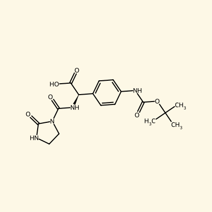 CC(C)(C)OC(=O)Nc1ccc([C@@H](NC(=O)N2CCNC2=O)C(=O)O)cc1